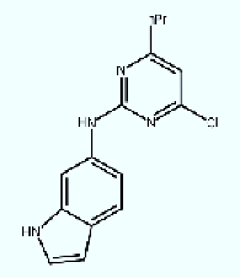 CCCc1cc(Cl)nc(Nc2ccc3cc[nH]c3c2)n1